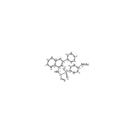 C=CC(Nc1nc(-c2ccccc2)cc2cccnc12)S(=O)(=O)c1ccc(NC(C)=O)cc1